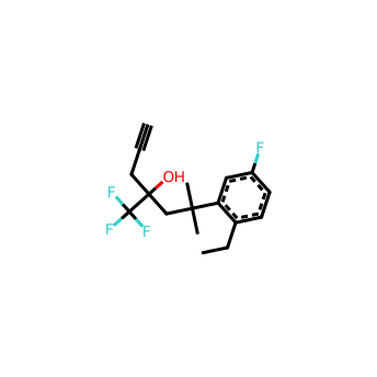 C#CCC(O)(CC(C)(C)c1cc(F)ccc1CC)C(F)(F)F